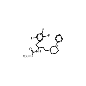 CC(C)(C)OC(=O)NC(CCN1CCC[C@H](c2ccccc2)C1)Cc1cc(F)c(F)cc1F